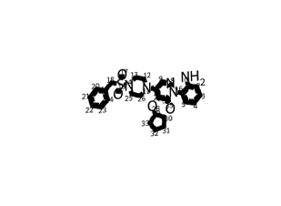 Nc1ccccc1-n1ncc(N2CCN(S(=O)(=O)Cc3ccccc3)CC2)c(OC2CCCC2)c1=O